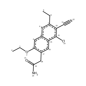 CCOc1cc2nc(CC)c(C#N)c(Cl)c2cc1CC(N)=O